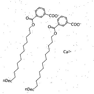 CCCCCCCCCCCCCCCCCCCCCCOC(=O)c1cccc(C(=O)[O-])c1.CCCCCCCCCCCCCCCCCCCCCCOC(=O)c1cccc(C(=O)[O-])c1.[Ca+2]